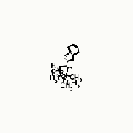 C/C=C/[C@@H](O[Si](C)(C)C(C)(C)C)c1cc2ccccc2s1